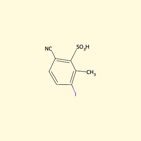 Cc1c(I)ccc(C#N)c1S(=O)(=O)O